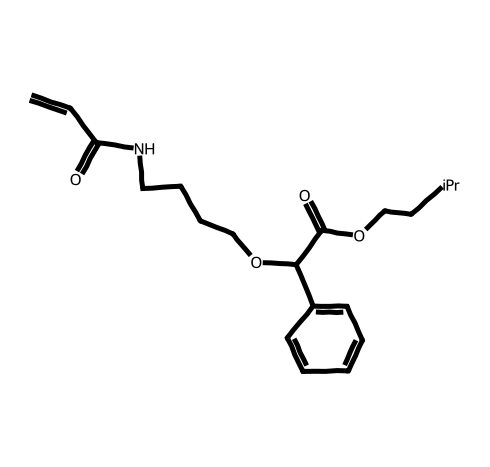 C=CC(=O)NCCCCOC(C(=O)OCCC(C)C)c1ccccc1